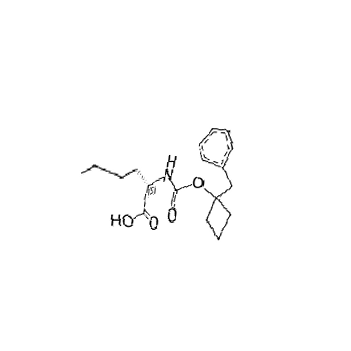 CCCC[C@H](NC(=O)OC1(Cc2ccccc2)CCC1)C(=O)O